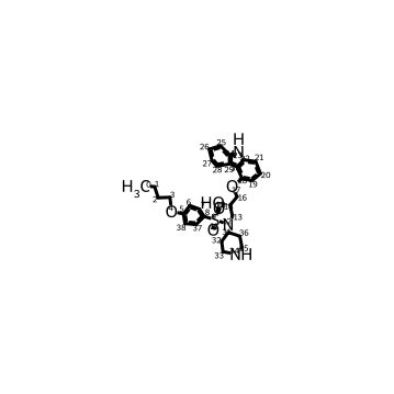 CCCCOc1ccc(S(=O)(=O)N(C[C@H](O)COc2cccc3[nH]c4ccccc4c23)C2CCNCC2)cc1